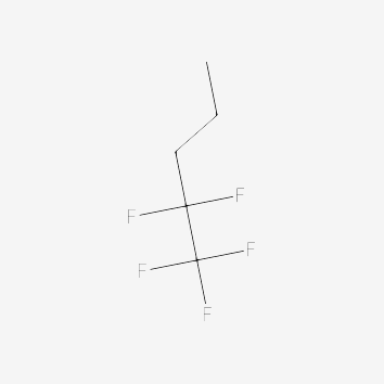 CC[CH]C(F)(F)C(F)(F)F